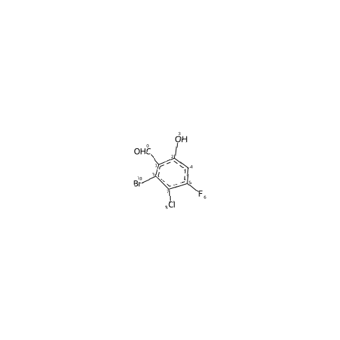 O=Cc1c(O)cc(F)c(Cl)c1Br